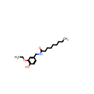 CCCCCCCCC(=O)NCc1ccc(O)c(OCC)c1